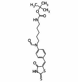 CC(C)(C)OC(=O)NCCCCCN(C=O)c1ccc(C=C2SC(=S)NC2=O)cc1